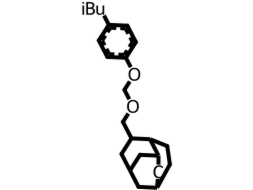 CCC(C)c1ccc(OCOCC2CC3CC4CCC2C(C4)C3)cc1